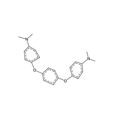 CN(C)c1ccc(Oc2ccc(Oc3ccc(N(C)C)cc3)cc2)cc1